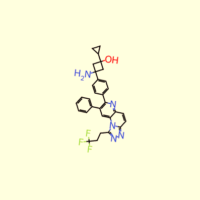 NC1(c2ccc(-c3nc4ccc5nnc(CCC(F)(F)F)n5c4cc3-c3ccccc3)cc2)CC(O)(C2CC2)C1